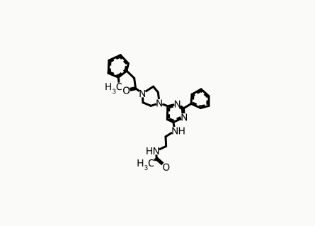 CC(=O)NCCNc1cc(N2CCN(C(=O)Cc3ccccc3C)CC2)nc(-c2ccccc2)n1